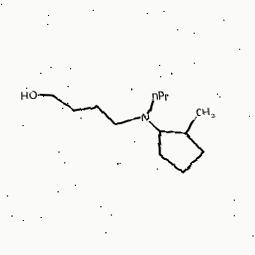 CCCN(CCCCO)C1CCCC1C